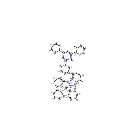 c1ccc(-c2cc(-c3ccccc3)nc(-c3cccc(-c4cccc5nc6n(c45)-c4ccccc4C64c5ccccc5-c5ccccc54)c3)n2)cc1